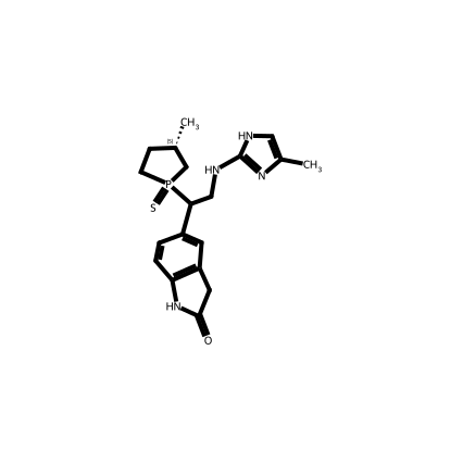 Cc1c[nH]c(NCC(c2ccc3c(c2)CC(=O)N3)P2(=S)CC[C@H](C)C2)n1